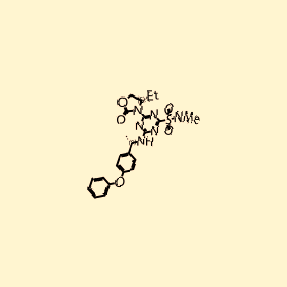 CC[C@H]1COC(=O)N1c1nc(N[C@@H](C)c2ccc(Oc3ccccc3)cc2)nc(S(=O)(=O)NC)n1